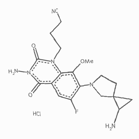 COc1c(N2CCC3(CC3N)C2)c(F)cc2c(=O)n(N)c(=O)n(CCCC#N)c12.Cl